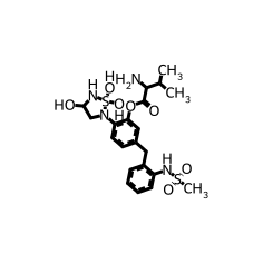 CC(C)C(N)C(=O)Oc1cc(Cc2ccccc2NS(C)(=O)=O)ccc1N1CC(O)NS1(O)O